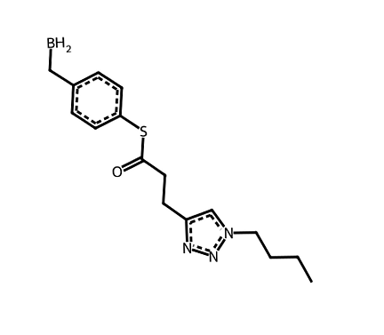 BCc1ccc(SC(=O)CCc2cn(CCCC)nn2)cc1